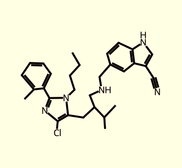 CCCCn1c(-c2ccccc2C)nc(Cl)c1CC(CNCc1ccc2[nH]cc(C#N)c2c1)C(C)C